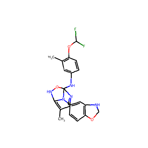 CC1=C2NOC(Nc3ccc(OC(F)F)c(C)c3)(N=C1)N2c1ccc2c(c1)NCO2